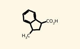 CC1CC(C(=O)O)c2ccccc21